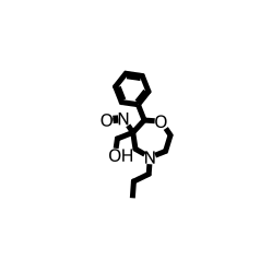 CCCN1CCOC(c2ccccc2)C(CO)(N=O)C1